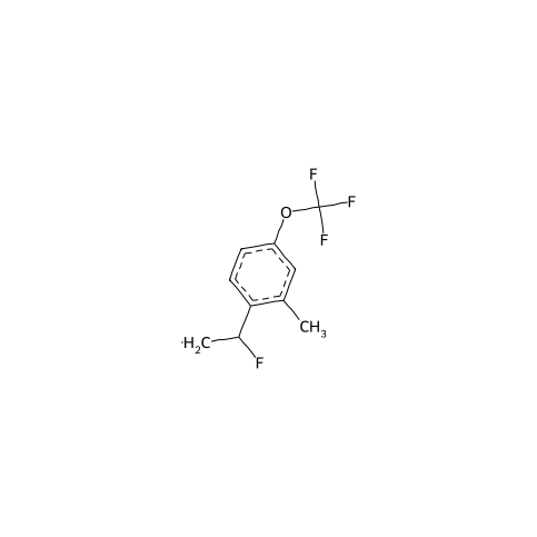 [CH2]C(F)c1ccc(OC(F)(F)F)cc1C